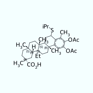 CC[C@@]12CC[C@]3(C)C(=CC(SC(C)C)c4c3cc(OC(C)=O)c(OC(C)=O)c4C)[C@@]1(C)CC[C@@]1(C)CC[C@@](C)(C(=O)O)C[C@H]12